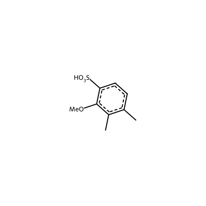 COc1c(S(=O)(=O)O)ccc(C)c1C